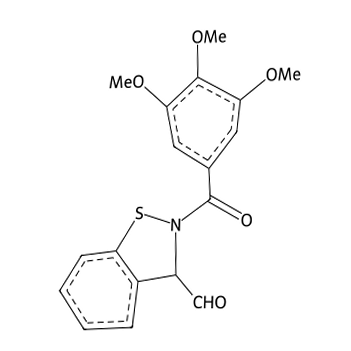 COc1cc(C(=O)N2Sc3ccccc3C2C=O)cc(OC)c1OC